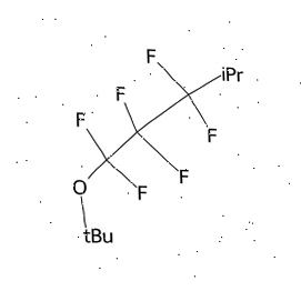 CC(C)C(F)(F)C(F)(F)C(F)(F)OC(C)(C)C